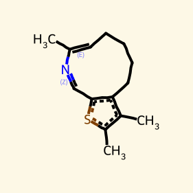 CC1=C\CCCCc2c(sc(C)c2C)/C=N\1